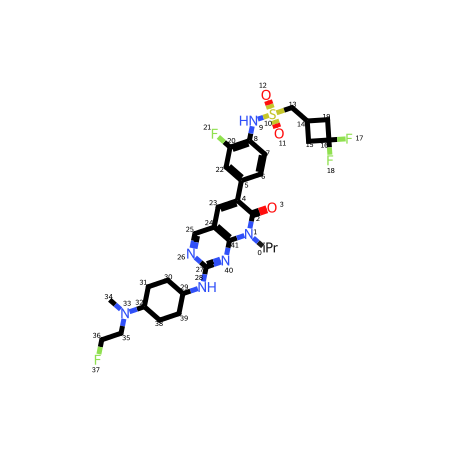 CC(C)n1c(=O)c(-c2ccc(NS(=O)(=O)CC3CC(F)(F)C3)c(F)c2)cc2cnc(NC3CCC(N(C)CCF)CC3)nc21